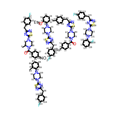 CC1CN(c2nc(Cc3ccc(F)cc3)ns2)CCN1C(=O)c1ccc([N+](=O)[O-])cc1.CCOc1ccccc1N1CCN(c2nc(Cc3ccc(F)cc3)ns2)CC1.Cc1ccc(Cc2nsc(N3CCN(C(=O)c4ccc(C(C)(C)C)cc4)CC3)n2)cc1.Cc1ccccc1N1CCN(c2nc(Cc3ccc(F)cc3)ns2)CC1.Fc1ccc(Cc2nsc(N3CCN(c4ccccc4F)CC3)n2)cc1